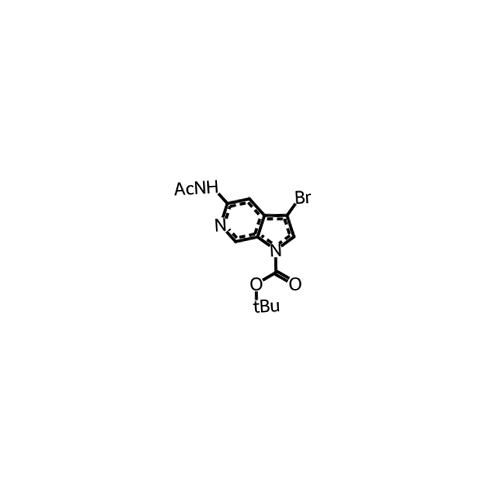 CC(=O)Nc1cc2c(Br)cn(C(=O)OC(C)(C)C)c2cn1